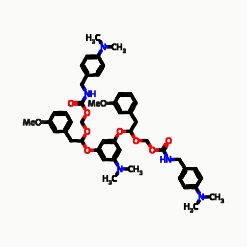 COc1cccc(CC(OCOC(=O)NCc2ccc(N(C)C)cc2)Oc2cc(OC(Cc3cccc(OC)c3)OCOC(=O)NCc3ccc(N(C)C)cc3)cc(N(C)C)c2)c1